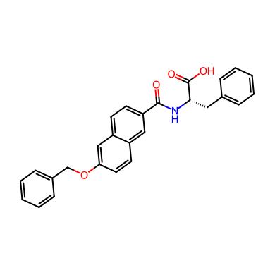 O=C(N[C@@H](Cc1ccccc1)C(=O)O)c1ccc2cc(OCc3ccccc3)ccc2c1